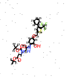 CC(C)(C)OC(=O)CCN(CC(=O)Nc1ccc(OCc2cc(-c3ccccc3)c(C(F)(F)F)s2)cc1O)C(=O)OC(C)(C)C